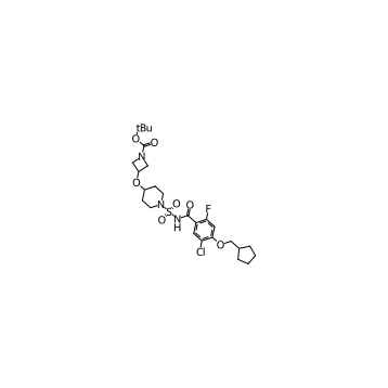 CC(C)(C)OC(=O)N1CC(OC2CCN(S(=O)(=O)NC(=O)c3cc(Cl)c(OCC4CCCC4)cc3F)CC2)C1